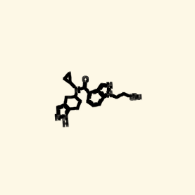 CC(C)(C)CCn1ncc2c(C(=O)N(C3CC3)C3CCc4[nH]ncc4C3)cccc21